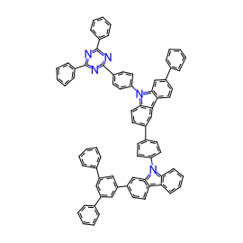 c1ccc(-c2cc(-c3ccccc3)cc(-c3ccc4c5ccccc5n(-c5ccc(-c6ccc7c(c6)c6ccc(-c8ccccc8)cc6n7-c6ccc(-c7nc(-c8ccccc8)nc(-c8ccccc8)n7)cc6)cc5)c4c3)c2)cc1